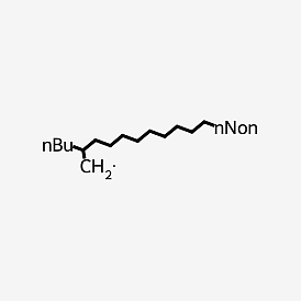 [CH2]C(CCCC)CCCCCCCCCCCCCCCCCC